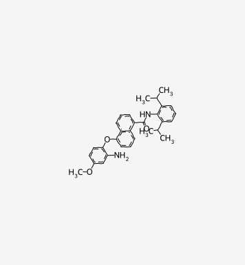 COc1ccc(Oc2cccc3c(C(=O)Nc4c(C(C)C)cccc4C(C)C)cccc23)c(N)c1